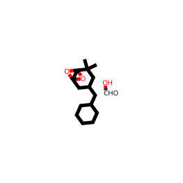 CC1(C)CC(CC2CCCCC2)CC23OC12O3.O=CO